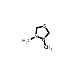 CN1CSCN1C